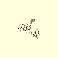 Cc1ccc(-c2c(CN)c(CC(C)C)nc(C)c2C(=O)OC/C=C2/OC(=O)c3ccccc32)cc1.Cl.Cl